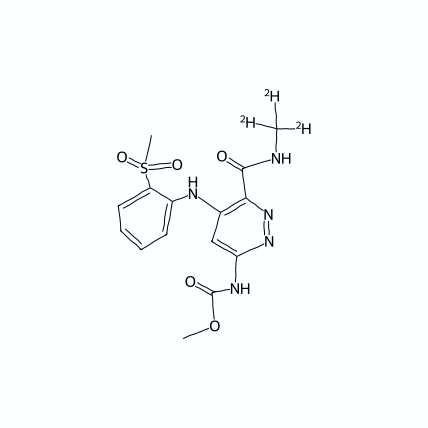 [2H]C([2H])([2H])NC(=O)c1nnc(NC(=O)OC)cc1Nc1ccccc1S(C)(=O)=O